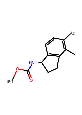 CC(=O)c1ccc2c(c1C)CC[C@@H]2NC(=O)OC(C)(C)C